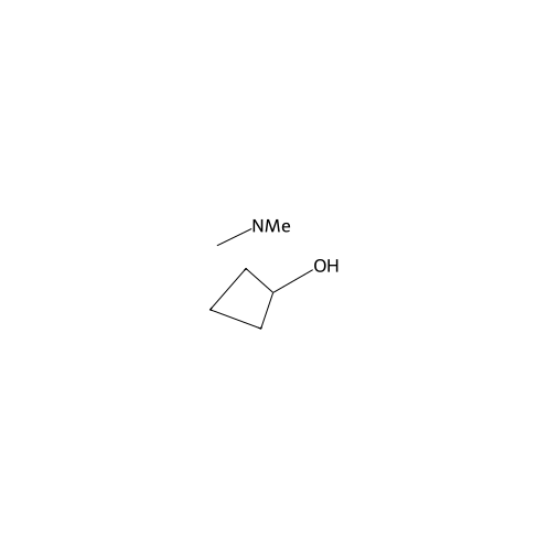 CNC.OC1CCC1